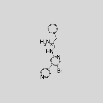 N[C@@H](CNc1cc(-c2ccncc2)c(Br)cn1)Cc1ccccc1